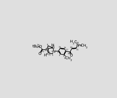 Cc1cc(N2C[C@@H]3C[C@H]2CN3C(=O)OC(C)(C)C)ccc1C(=O)C=CN(C)C